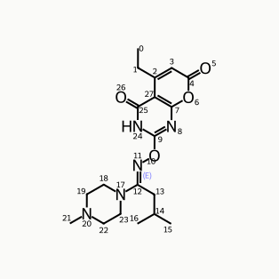 CCc1cc(=O)oc2nc(O/N=C(\CC(C)C)N3CCN(C)CC3)[nH]c(=O)c12